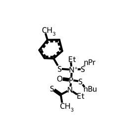 CCCCSP(=O)(N(CC)C(C)=S)[N+](CC)(SCCC)Sc1ccc(C)cc1